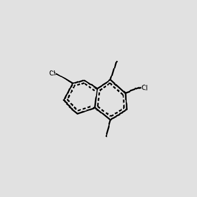 Cc1cc(Cl)c(C)c2cc(Cl)ccc12